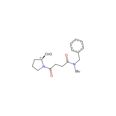 CC(C)(C)N(Cc1ccccc1)C(=O)CCC(=O)N1CCC[C@H]1C=O